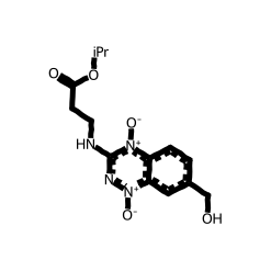 CC(C)OC(=O)CCNc1n[n+]([O-])c2cc(CO)ccc2[n+]1[O-]